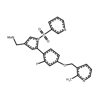 CNCc1cc(-c2ccc(OCc3cccnc3C)cc2F)n(S(=O)(=O)c2cccnc2)c1